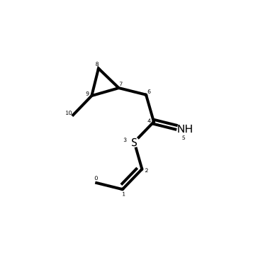 C/C=C\SC(=N)CC1CC1C